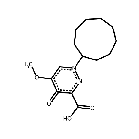 COc1cn(C2CCCCCCCC2)nc(C(=O)O)c1=O